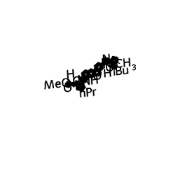 CCC[C@H]1CC(c2nc3ccc4cc5c(cc4c3[nH]2)OCc2cc(-c3cnc(C4CC[C@H](C)N4C(=O)CC(C)CC)[nH]3)ccc2-5)N(C(=O)CNC(=O)OC)C1